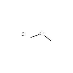 [CH3][Cr][CH3].[C]